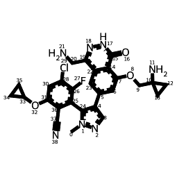 Cn1ncc(-c2cc(OCC3(N)CC3)c3c(=O)[nH]nc(CN)c3c2)c1-c1c(F)c(Cl)cc(OC2CC2)c1C#N